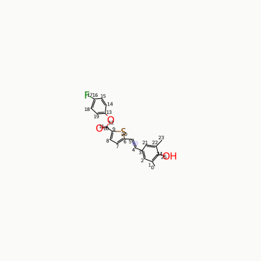 Cc1cc(/C=C/c2ccc(C(=O)Oc3ccc(F)cc3)s2)cc(C)c1O